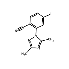 Cc1nc(C)n(-c2cc(F)ccc2C#N)n1